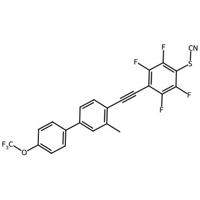 Cc1cc(-c2ccc(OC(F)(F)F)cc2)ccc1C#Cc1c(F)c(F)c(SC#N)c(F)c1F